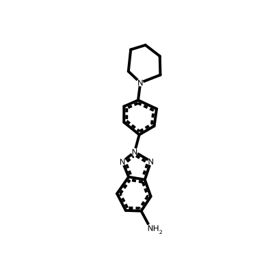 Nc1ccc2nn(-c3ccc(N4CCCCC4)cc3)nc2c1